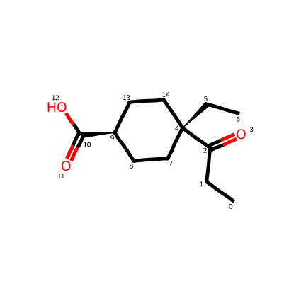 CCC(=O)[C@]1(CC)CC[C@@H](C(=O)O)CC1